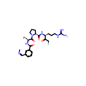 C/N=C\c1cccc(C(=O)N[C@H](C(=O)N2CCC[C@H]2C(=O)N[C@@H](CCCNC(=N)N)C(=O)CF)C(C)C)c1